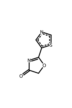 O=C1COC(c2cncs2)=N1